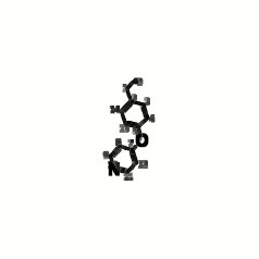 [CH2]Cc1ccc(Oc2ccncc2)cc1